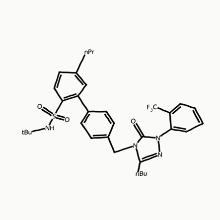 CCCCc1nn(-c2ccccc2C(F)(F)F)c(=O)n1Cc1ccc(-c2cc(CCC)ccc2S(=O)(=O)NC(C)(C)C)cc1